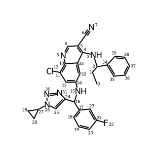 CCC(Nc1c(C#N)cnc2c(Cl)cc(NC(c3cccc(F)c3)c3cn(C4CC4)nn3)cc12)c1ccccc1